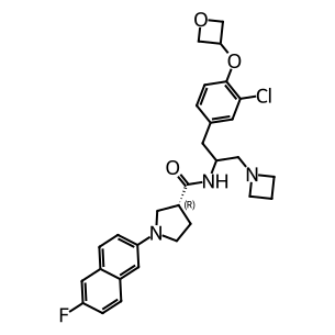 O=C(NC(Cc1ccc(OC2COC2)c(Cl)c1)CN1CCC1)[C@@H]1CCN(c2ccc3cc(F)ccc3c2)C1